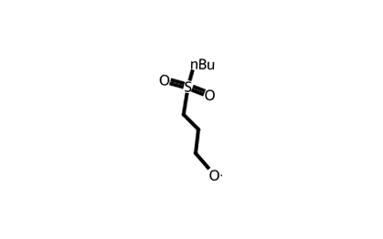 CCCCS(=O)(=O)CCC[O]